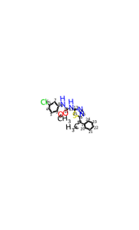 COc1ccc(Cl)cc1NC(=O)Nc1nnc([C@@H](C)c2ccccc2)s1